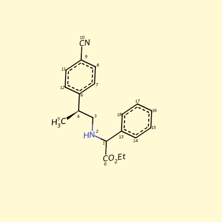 CCOC(=O)C(NC[C@@H](C)c1ccc(C#N)cc1)c1ccccc1